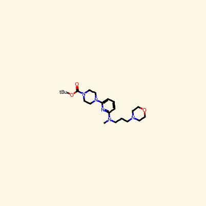 CN(CCCN1CCOCC1)c1cccc(N2CCN(C(=O)OC(C)(C)C)CC2)n1